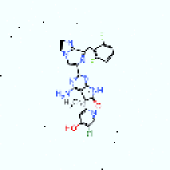 C[C@@]1(c2cc(O)c(Cl)cn2)C(=O)Nc2nc(-c3cn4ccnc4c(Cc4c(F)cccc4F)n3)nc(N)c21